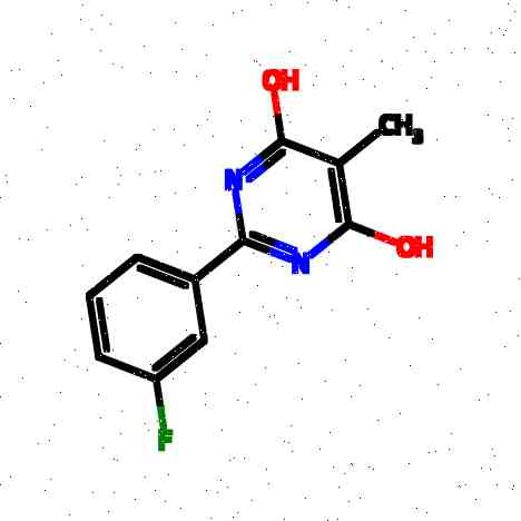 Cc1c(O)nc(-c2cccc(F)c2)nc1O